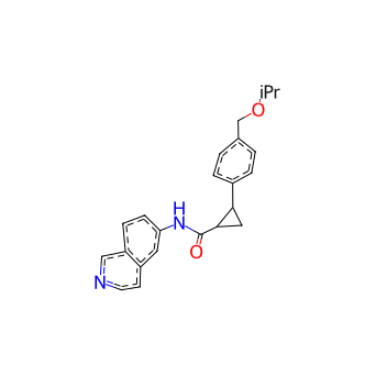 CC(C)OCc1ccc(C2CC2C(=O)Nc2ccc3cnccc3c2)cc1